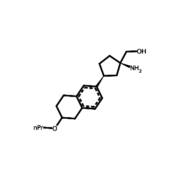 CCCOC1CCc2cc([C@H]3CC[C@](N)(CO)C3)ccc2C1